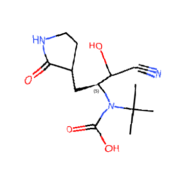 CC(C)(C)N(C(=O)O)[C@@H](CC1CCNC1=O)C(O)C#N